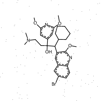 COc1cc(C(O)(CCN(C)C)C(c2cc3cc(Br)ccc3nc2OC)C2CCCCC2)cc(OC)n1